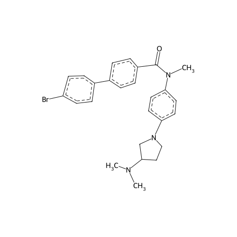 CN(C(=O)c1ccc(-c2ccc(Br)cc2)cc1)c1ccc(N2CCC(N(C)C)C2)cc1